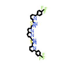 FC(F)(F)c1ccc(-c2cccc(-c3nnc(-c4ccc5ccc(-c6nnc(-c7cccc(-c8ccc(C(F)(F)F)cc8)n7)s6)nc5n4)s3)n2)cc1